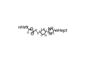 CCCCCCCc1cnc(-c2ccc(CCC(=O)O[C@H](C)CCCCCC)cc2)nc1